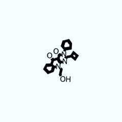 O=c1c2ccccc2n(CCO)c2nc(C3CCC3)n(-c3ccccc3)c(=O)c12